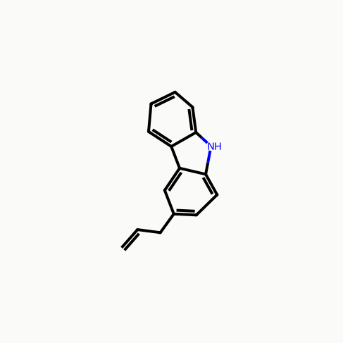 C=CCc1ccc2[nH]c3ccccc3c2c1